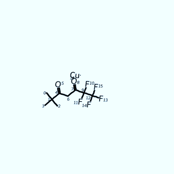 CC(C)(C)C(=O)CC(=O)C(F)(F)C(F)(F)F.[Cu]